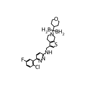 BC(B)(C1CCOCC1)N1CCc2c(CNc3ccc(-c4cc(F)ccc4Cl)nn3)csc2C1